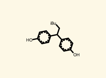 CCC(C)CC(c1ccc(O)cc1)c1ccc(O)cc1